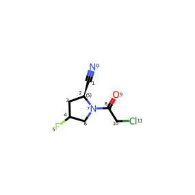 N#C[C@@H]1CC(F)CN1C(=O)CCl